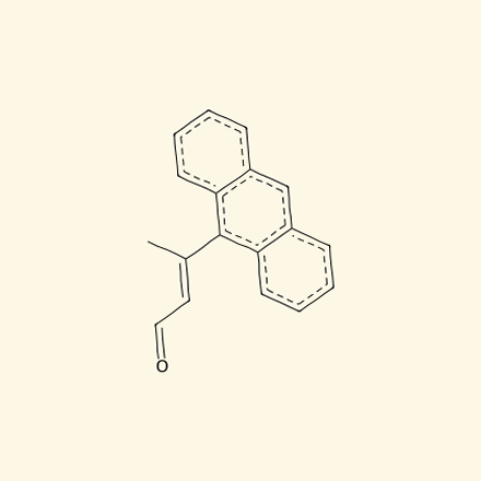 CC(=CC=O)c1c2ccccc2cc2ccccc12